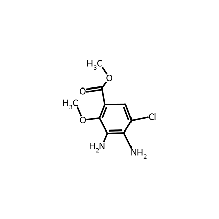 COC(=O)c1cc(Cl)c(N)c(N)c1OC